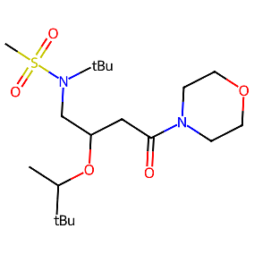 CC(OC(CC(=O)N1CCOCC1)CN(C(C)(C)C)S(C)(=O)=O)C(C)(C)C